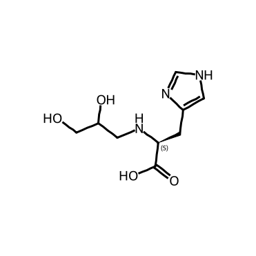 O=C(O)[C@H](Cc1c[nH]cn1)NCC(O)CO